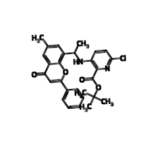 Cc1cc(C(C)Nc2ccc(Cl)nc2C(=O)OC(C)(C)C)c2oc(-c3ccccc3)cc(=O)c2c1